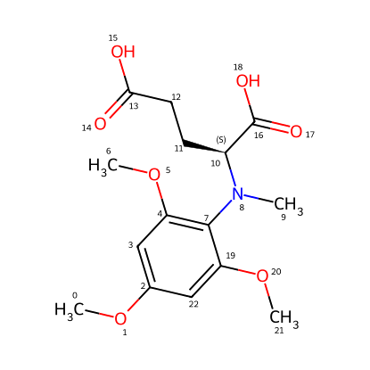 COc1cc(OC)c(N(C)[C@@H](CCC(=O)O)C(=O)O)c(OC)c1